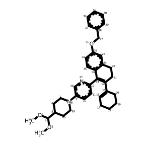 COC(OC)C1CCN(c2ccc(C3=C(C4=CCCCC4)CCc4cc(OCc5ccccc5)ccc43)nc2)CC1